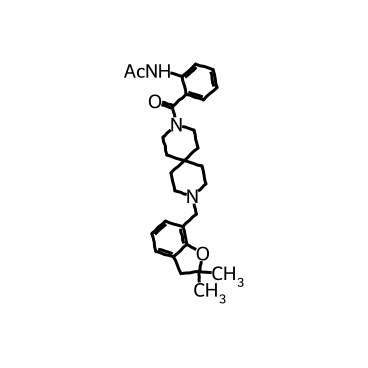 CC(=O)Nc1ccccc1C(=O)N1CCC2(CCN(Cc3cccc4c3OC(C)(C)C4)CC2)CC1